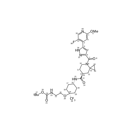 COc1cc(-c2cc(C(=O)N3CC[C@H](C(=O)N[C@H]4CC[C@@](OCCNC(=O)OC(C)(C)C)(C(F)(F)F)CC4)CC34CC4)n[nH]2)c(F)cn1